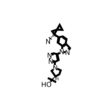 CC(C)(O)[C@@H]1CCN(c2cc(-n3ncc4ccc([C@@]5(C#N)CC56CC6)cc43)cnn2)C1